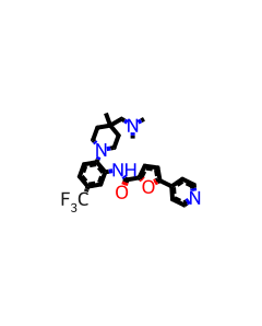 CN(C)CC1(C)CCN(c2ccc(C(F)(F)F)cc2NC(=O)c2ccc(-c3ccncc3)o2)CC1